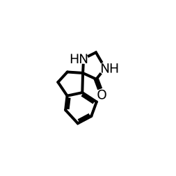 O=C1NCNC12CCc1ccccc12